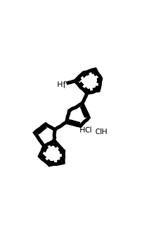 Cl.Cl.[Hf][c]1ccccc1C1=CC=C(C2C=Cc3ccccc32)C1